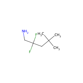 CC(C)(C)CC(F)(F)CN